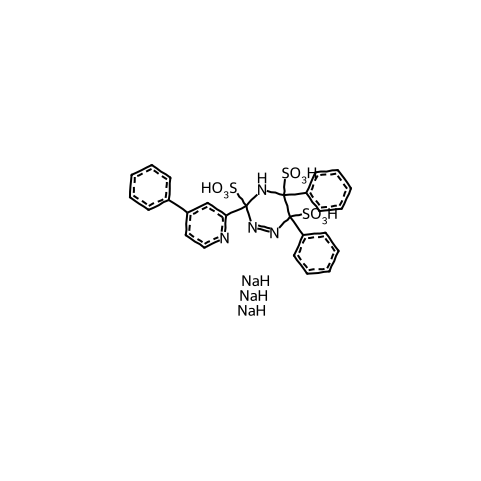 O=S(=O)(O)C1(c2cc(-c3ccccc3)ccn2)N=NC(c2ccccc2)(S(=O)(=O)O)C(c2ccccc2)(S(=O)(=O)O)N1.[NaH].[NaH].[NaH]